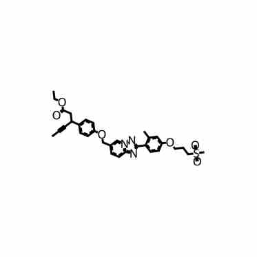 CC#CC(CC(=O)OCC)c1ccc(OCc2ccc3nc(-c4ccc(OCCCS(C)(=O)=O)cc4C)nn3c2)cc1